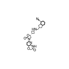 N#Cc1cccc2c1CC(CN[C@H]1C[C@@H](C3CN(c4ccc5c(n4)NC(=O)CO5)C(=O)O3)C1)C2